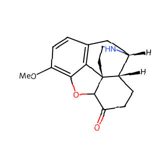 COc1ccc2c3c1OC1C(=O)CC[C@H]4[C@@H](C2)NCC[C@]314